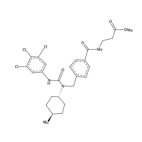 COC(=O)CCNC(=O)c1ccc(CN(C(=O)Nc2cc(Cl)c(Cl)c(Cl)c2)[C@H]2CC[C@H](C(C)(C)C)CC2)cc1